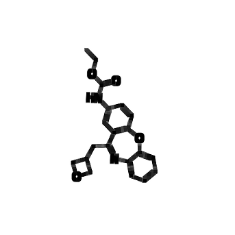 CCOC(=O)Nc1ccc2c(c1)C(CC1COC1)=Nc1ccccc1O2